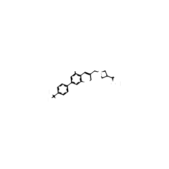 O=C(O)C1CN(CC2=Cc3c(F)cc(-c4ccc(C(F)(F)F)cc4)cc3OC2)C1